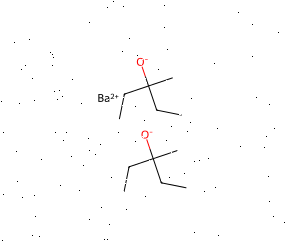 CCC(C)([O-])CC.CCC(C)([O-])CC.[Ba+2]